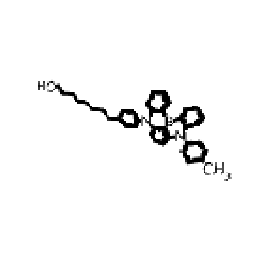 Cc1ccc(N2c3ccccc3B3c4ccccc4N(c4ccc(CCCCCCCCO)cc4)c4cccc2c43)cc1